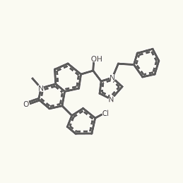 Cn1c(=O)cc(-c2cccc(Cl)c2)c2cc(C(O)c3cncn3Cc3ccccc3)ccc21